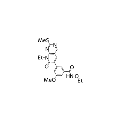 CCONC(=O)c1cc(OC)cc(-c2cc3cnc(SC)nc3n(CC)c2=O)c1